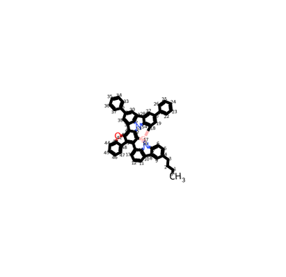 CCCCc1ccc2c(c1)c1cccc3c1n2B1c2cc(-c4ccccc4)cc4c5cc(-c6ccccc6)cc6c7c8oc9ccccc9c8c-3c1c7n(c24)c56